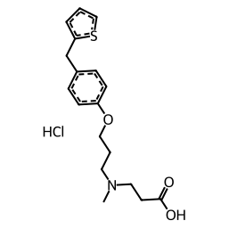 CN(CCCOc1ccc(Cc2cccs2)cc1)CCC(=O)O.Cl